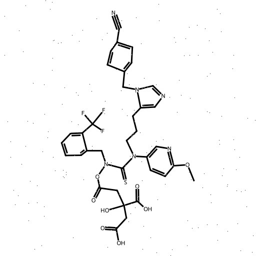 COc1ccc(N(CCCc2cncn2Cc2ccc(C#N)cc2)C(=S)N(Cc2ccccc2C(F)(F)F)OC(=O)CC(O)(CC(=O)O)C(=O)O)cn1